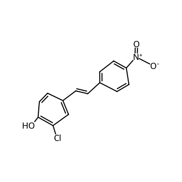 O=[N+]([O-])c1ccc(C=Cc2ccc(O)c(Cl)c2)cc1